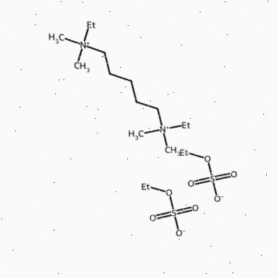 CCOS(=O)(=O)[O-].CCOS(=O)(=O)[O-].CC[N+](C)(C)CCCCC[N+](C)(C)CC